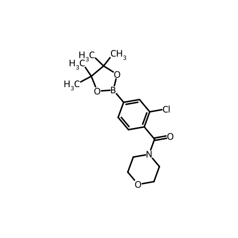 CC1(C)OB(c2ccc(C(=O)N3CCOCC3)c(Cl)c2)OC1(C)C